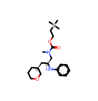 CN(C[C@H](C[C@@H]1CCCOC1)Nc1ccccc1)C(=O)OCC[Si](C)(C)C